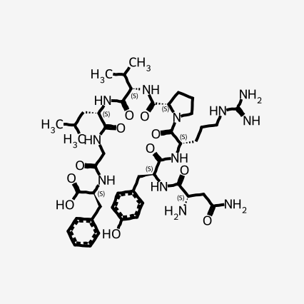 CC(C)C[C@H](NC(=O)[C@@H](NC(=O)[C@@H]1CCCN1C(=O)[C@H](CCCNC(=N)N)NC(=O)[C@H](Cc1ccc(O)cc1)NC(=O)[C@@H](N)CC(N)=O)C(C)C)C(=O)NCC(=O)N[C@@H](Cc1ccccc1)C(=O)O